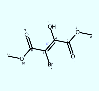 COC(=O)/C(O)=C(\Br)C(=O)OC